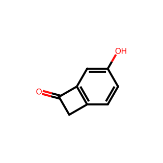 O=C1Cc2ccc(O)cc21